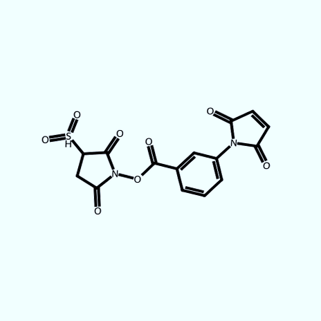 O=C(ON1C(=O)CC([SH](=O)=O)C1=O)c1cccc(N2C(=O)C=CC2=O)c1